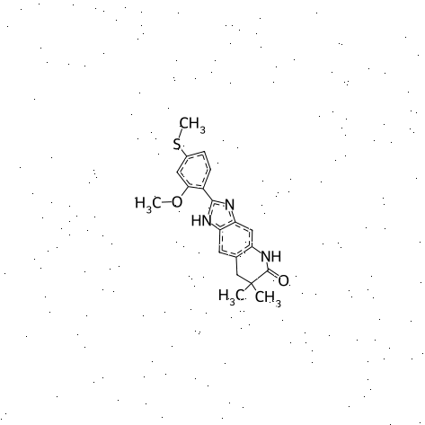 COc1cc(SC)ccc1-c1nc2cc3c(cc2[nH]1)CC(C)(C)C(=O)N3